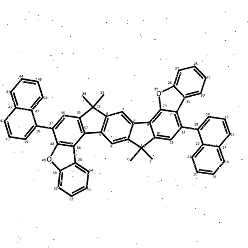 CC1(C)c2cc3c(cc2-c2c1cc(-c1cccc4ccccc14)c1c2oc2ccccc21)C(C)(C)c1cc(-c2cccc4ccccc24)c2oc4ccccc4c2c1-3